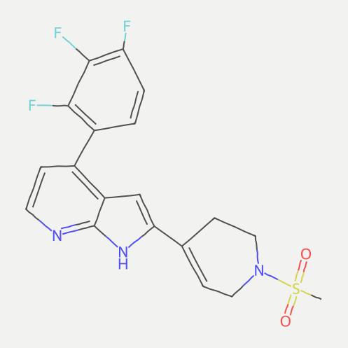 CS(=O)(=O)N1CC=C(c2cc3c(-c4ccc(F)c(F)c4F)ccnc3[nH]2)CC1